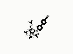 CC(=O)OC[C@H]1O[C@H](Oc2ccc(-c3ccc(C#N)cc3)cc2)[C@@H](OC(C)=O)[C@@H](OC(C)=O)[C@@H]1OC(C)=O